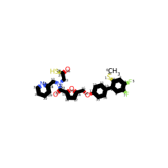 CSc1cc(F)c(F)cc1-c1ccc(OCc2ccc(C(=O)N(CC(=O)S)Cc3ccccn3)o2)cc1